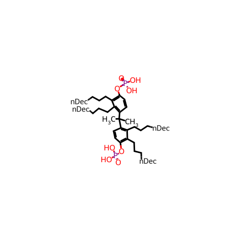 CCCCCCCCCCCCCc1c(OP(=O)(O)O)ccc(C(C)(C)c2ccc(OP(=O)(O)O)c(CCCCCCCCCCCCC)c2CCCCCCCCCCCCC)c1CCCCCCCCCCCCC